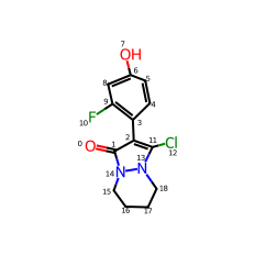 O=c1c(-c2ccc(O)cc2F)c(Cl)n2n1CCCC2